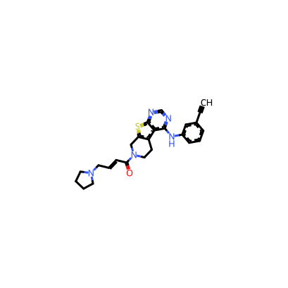 C#Cc1cccc(Nc2ncnc3sc4c(c23)CCN(C(=O)/C=C/CN2CCCC2)C4)c1